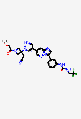 COCC(=O)N1CC(CC#N)(N/C=C(\C=N)c2cnn3c(-c4cccc(NC(=O)NCC(F)(F)F)c4)cnc3c2)C1